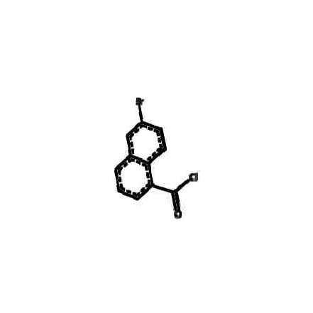 O=C(Cl)c1cccc2cc(Br)ccc12